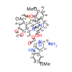 C#CS[C@@H]1c2c(OC(C)=O)c(C)c3c(c2[C@H](COC(=O)[C@@H]2N[C@H](CN)Cc4c2[nH]c2ccc(OC)cc42)N2[C@@H]1[C@H]1c4c(cc(C)c(OC)c4O)C4(C)CC2(O)CN14)OCO3